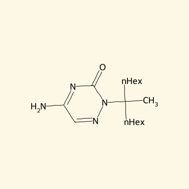 CCCCCCC(C)(CCCCCC)n1ncc(N)nc1=O